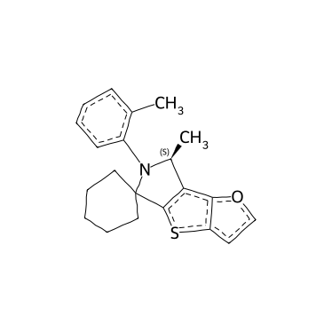 Cc1ccccc1N1[C@@H](C)c2c(sc3ccoc23)C12CCCCC2